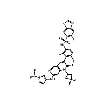 O=c1c(-c2c(F)ccc(NS(=O)(=O)c3cc4scnc4cc3F)c2F)cc2cnc(Nc3ccn(C(F)F)n3)cc2n1C1CC(F)(F)C1